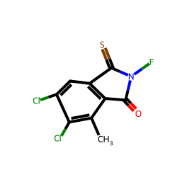 Cc1c(Cl)c(Cl)cc2c1C(=O)N(F)C2=S